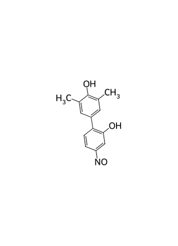 Cc1cc(-c2ccc(N=O)cc2O)cc(C)c1O